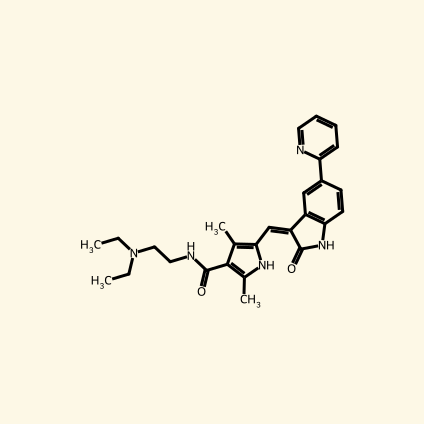 CCN(CC)CCNC(=O)c1c(C)[nH]c(/C=C2\C(=O)Nc3ccc(-c4ccccn4)cc32)c1C